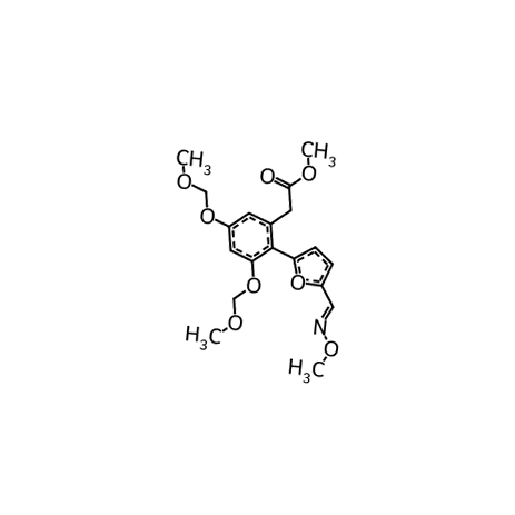 COCOc1cc(CC(=O)OC)c(-c2ccc(C=NOC)o2)c(OCOC)c1